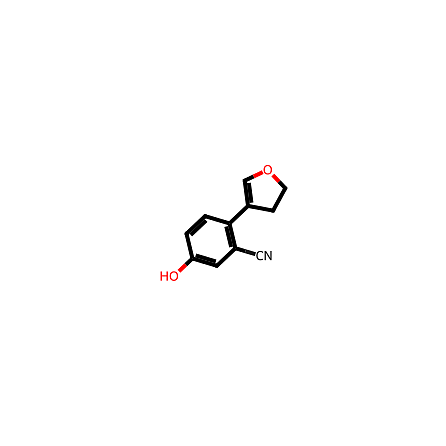 N#Cc1cc(O)ccc1C1=COCC1